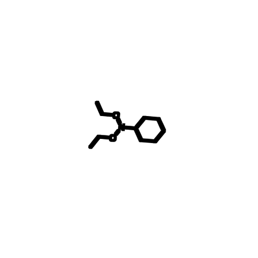 CCON(OCC)C1CCCCC1